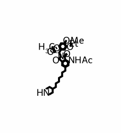 CCOc1cc([C@@H](CS(C)(=O)=O)N2C(=O)c3cc(CCCCCCCC4CCNCC4)cc(NC(C)=O)c3C2=O)ccc1OC